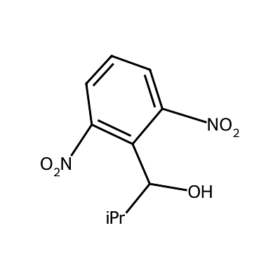 CC(C)C(O)c1c([N+](=O)[O-])cccc1[N+](=O)[O-]